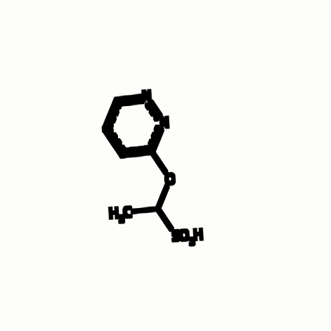 CC(Oc1cccnn1)S(=O)(=O)O